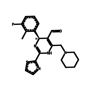 Cc1c(F)cccc1[C@@H]1N=C(c2nccs2)NC(CN2CCCCC2)=C1C=O